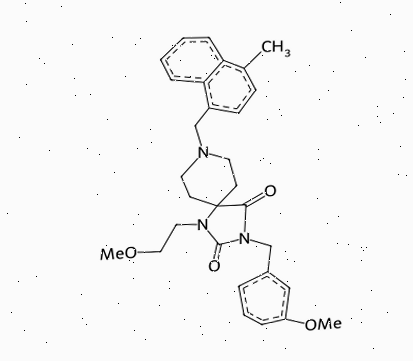 COCCN1C(=O)N(Cc2cccc(OC)c2)C(=O)C12CCN(Cc1ccc(C)c3ccccc13)CC2